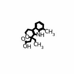 CCC1(CC(=O)O)OCCc2c1[nH]c1c(C)cccc21